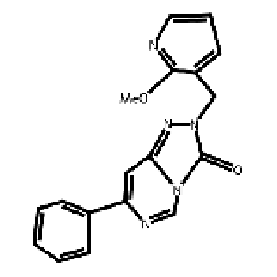 COc1ncccc1Cn1nc2cc(-c3ccccc3)ncn2c1=O